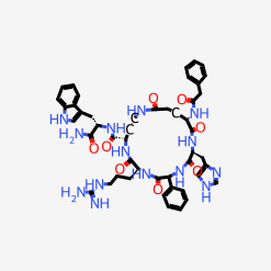 N=C(N)NCCC[C@@H]1NC(=O)C(c2ccccc2)NC(=O)[C@H](Cc2c[nH]cn2)NC(=O)[C@@H](NC(=O)Cc2ccccc2)CCC(=O)NCC[C@@H](C(=O)N[C@@H](Cc2c[nH]c3ccccc23)C(N)=O)NC1=O